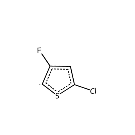 Fc1[c]sc(Cl)c1